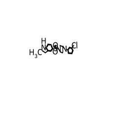 CC1Cc2cc(S(=O)(=O)N3CCN(c4cccc(Cl)c4)CC3)ccc2N1